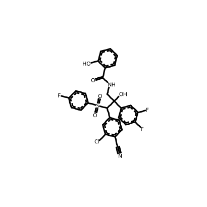 N#Cc1ccc(C(C(O)(CNC(=O)c2ccccc2O)c2ccc(F)c(F)c2)S(=O)(=O)c2ccc(F)cc2)cc1Cl